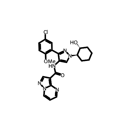 COc1ccc(Cl)cc1-c1nn([C@@H]2CCCC[C@H]2O)cc1NC(=O)c1cnn2cccnc12